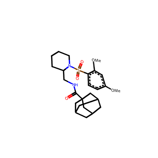 COc1ccc(S(=O)(=O)N2CCCCC2CNC(=O)C23CC4CC(CC(C4)C2)C3)c(OC)c1